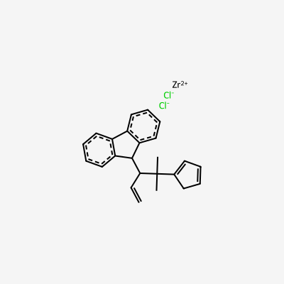 C=CC(C1c2ccccc2-c2ccccc21)C(C)(C)C1=CC=CC1.[Cl-].[Cl-].[Zr+2]